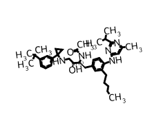 CCCCCc1cc(C[C@H](NC(C)=O)[C@H](O)CNC2(c3cccc(C(C)(C)C)c3)CC2)ccc1Nc1cc(C)nc(C(C)C)n1